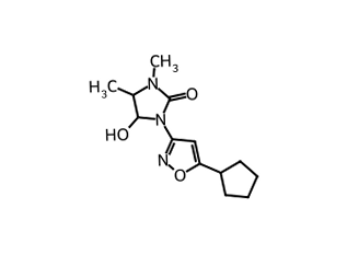 CC1C(O)N(c2cc(C3CCCC3)on2)C(=O)N1C